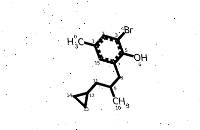 Cc1cc(Br)c(O)c(CC(C)CC2CC2)c1